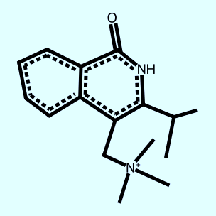 CC(C)c1[nH]c(=O)c2ccccc2c1C[N+](C)(C)C